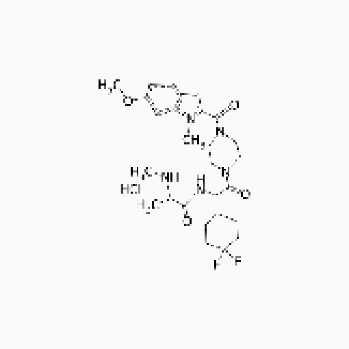 CNC(C)C(=O)NC(C(=O)N1CCN(C(=O)c2cc3ccc(OC)cc3n2C)CC1)C1CCC(F)(F)CC1.Cl